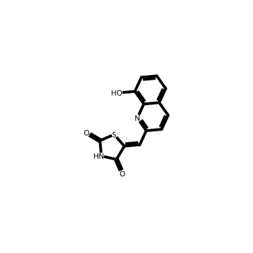 O=C1NC(=O)C(=Cc2ccc3cccc(O)c3n2)S1